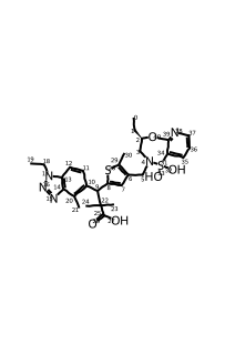 CC[C@@H]1CN(Cc2cc(C(c3ccc4c(nnn4CC)c3C)C(C)(C)C(=O)O)sc2C)S(O)(O)c2cccnc2O1